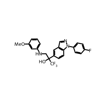 COc1cccc(NCC(O)(c2ccc3c(cnn3-c3ccc(F)cc3)c2)C(F)(F)F)c1